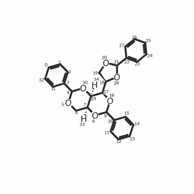 c1ccc(C2OC[C@@H]3OC(c4ccccc4)O[C@H]([C@H]4COC(c5ccccc5)O4)[C@@H]3O2)cc1